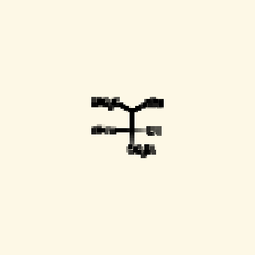 CCCCCCC(C#N)(C(=O)OCC)C(CCCC)C(=O)OCC